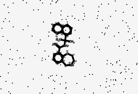 B=C(NC(C)(C)c1cccc2cccnc12)c1cccc2c1OCCNC2